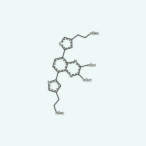 CCCCCCCCCCCCc1csc(-c2ccc(-c3cc(CCCCCCCCCCCC)cs3)c3nc(CCCCCCCC)c(CCCCCCCC)nc23)c1